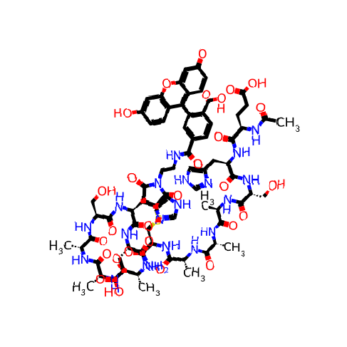 CC(=O)N[C@H](CCC(=O)O)C(=O)N[C@H](Cc1c[nH]cn1)C(=O)N[C@H](CO)C(=O)N[C@H](C)C(=O)N[C@H](C)C(=O)N[C@H](C)C(=O)N[C@H](CSC1CC(=O)N(CCNC(=O)c2ccc(C(=O)O)c(-c3c4ccc(=O)cc-4oc4cc(O)ccc34)c2)C1=O)C(=O)N[C@H](C)C(=O)N[C@H](C)C(=O)N[C@H](C)C(=O)N[C@@H](CO)C(=O)N[C@@H](Cc1c[nH]cn1)C(=O)N[C@@H](CCC(=O)O)C(N)=O